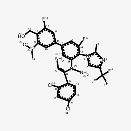 Cc1nc(C(F)(F)F)cn1-c1c(F)cc(-c2cc(F)c(CO)c([S+](C)[O-])c2)cc1N(N)/C(=C\N)c1ccc(Cl)cc1Cl